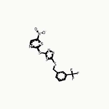 O=[N+]([O-])c1cnc(Sc2nnc(SCc3cccc(C(F)(F)F)c3)s2)s1